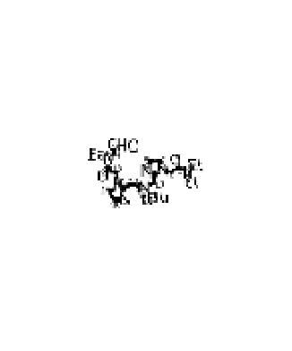 CCN(CC)C(=O)Cn1ccnc1CN(Cc1nccn1CC(=O)N(CC)CC=O)C(C)(C)C